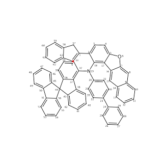 C1=C(c2ccc3oc4cc5ccccc5cc4c3c2N(c2ccc(-c3ccccc3)cc2)c2cccc3c2-c2ccccc2C32c3ccccc3-c3ccccc32)Cc2ccccc21